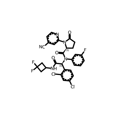 N#Cc1ccnc(N2C(=O)CC[C@H]2C(=O)N(c2cccc(F)c2)[C@H](C(=O)NC2CC(F)(F)C2)c2ccc(Cl)cc2Cl)c1